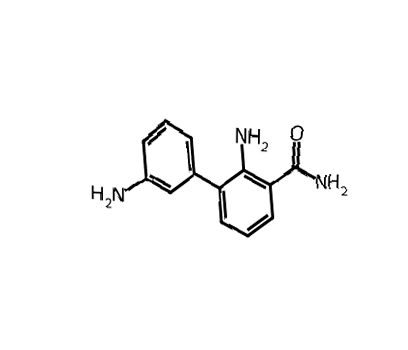 NC(=O)c1cccc(-c2cccc(N)c2)c1N